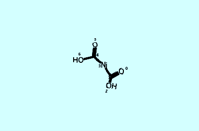 O=[C](O)[Ni][C](=O)O